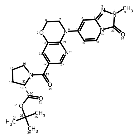 Cn1nc2cc(N3CCOc4cc(C(=O)N5CCC[C@H]5C(=O)OC(C)(C)C)cnc43)ccn2c1=O